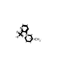 [CH2][C@@H]1CCCN(c2cccnc2C(F)(F)F)C1